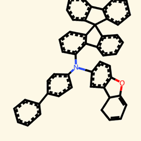 C1=CCC2C(=C1)Oc1ccc(N(c3ccc(-c4ccccc4)cc3)c3cccc4c3-c3ccccc3C43c4ccccc4-c4ccccc43)cc12